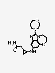 NC(=O)C[C@@H]1C[C]1Nc1cc2c3c(c1)nc(N1CCCOCC1)n3CCCO2